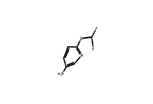 Bc1ccc(OC(F)F)nc1